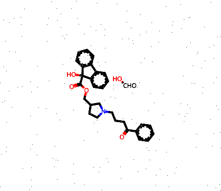 O=C(CCCN1CCC(COC(=O)C2(O)c3ccccc3-c3ccccc32)C1)c1ccccc1.O=CO